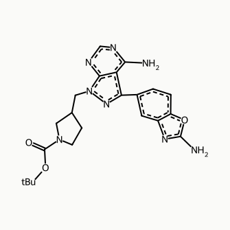 CC(C)(C)OC(=O)N1CCC(Cn2nc(-c3ccc4oc(N)nc4c3)c3c(N)ncnc32)C1